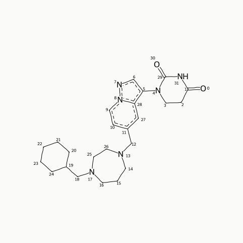 O=C1CCN(c2cnn3ccc(CN4CCCN(CC5CCCCC5)CC4)cc23)C(=O)N1